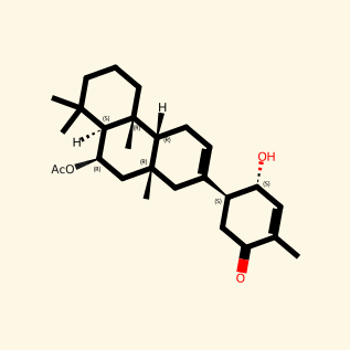 CC(=O)O[C@@H]1C[C@@]2(C)CC([C@@H]3CC(=O)C(C)=C[C@H]3O)=CC[C@H]2[C@@]2(C)CCCC(C)(C)[C@H]12